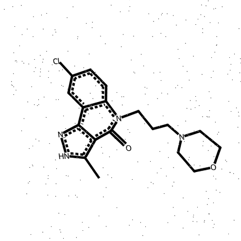 Cc1[nH]nc2c1c(=O)n(CCCN1CCOCC1)c1ccc(Cl)cc21